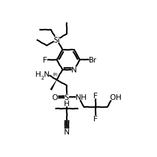 CC[Si](CC)(CC)c1cc(Br)nc([C@@](C)(N)C[SH](=O)(NCC(F)(F)CO)C(C)(C)C#N)c1F